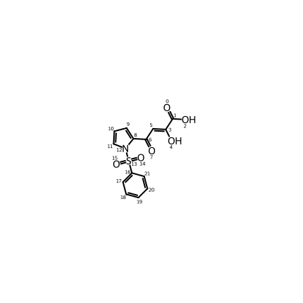 O=C(O)C(O)=CC(=O)c1cccn1S(=O)(=O)c1ccccc1